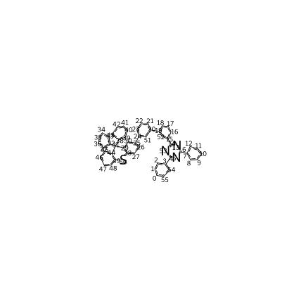 c1ccc(-c2nc(-c3ccccc3)nc(-c3cccc(-c4cccc(-c5ccc6c(c5)C(c5ccccc5)(c5ccccc5)c5ccccc5S6)c4)c3)n2)cc1